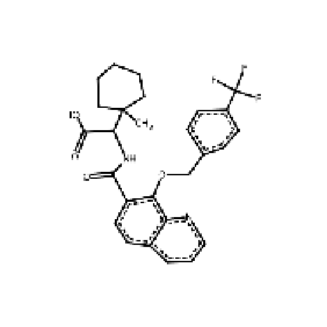 CC1(C(NC(=O)c2ccc3cccnc3c2OCc2ccc(C(F)(F)F)cc2)C(=O)O)CCCCC1